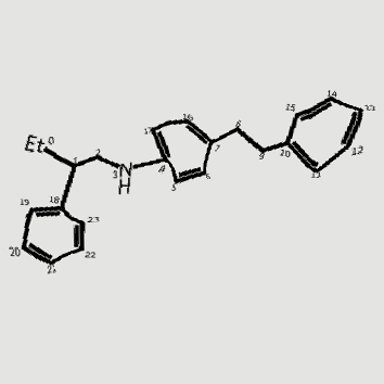 CCC(CNc1ccc(CCc2ccccc2)cc1)c1ccccc1